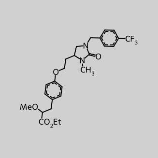 CCOC(=O)C(Cc1ccc(OCCC2CN(Cc3ccc(C(F)(F)F)cc3)C(=O)N2C)cc1)OC